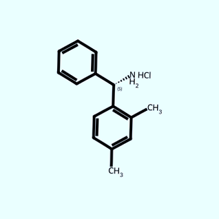 Cc1ccc([C@@H](N)c2ccccc2)c(C)c1.Cl